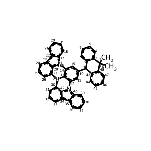 CC1(C)c2ccccc2C(c2cc3c4c(c2)-n2c5ccccc5c5cccc(c52)B4c2cccc4c5ccccc5n-3c24)c2ccccc21